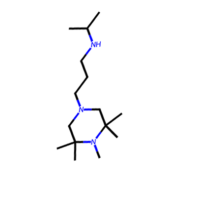 CC(C)NCCCN1CC(C)(C)N(C)C(C)(C)C1